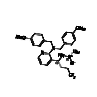 COc1ccc(CN(Cc2ccc(OC)cc2)c2ncccc2[C@@H](CCC(F)(F)F)N[S@@+]([O-])C(C)(C)C)cc1